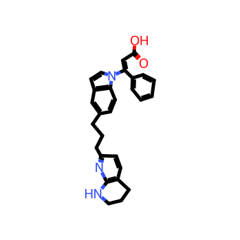 O=C(O)C=C(c1ccccc1)n1ccc2cc(CCCc3ccc4c(n3)NCCC4)ccc21